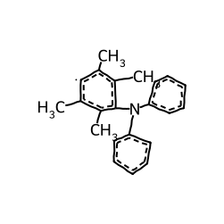 Cc1[c]c(C)c(C)c(N(c2ccccc2)c2ccccc2)c1C